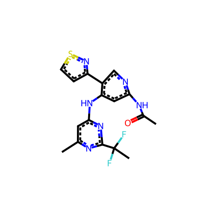 CC(=O)Nc1cc(Nc2cc(C)nc(C(C)(F)F)n2)c(-c2ccsn2)cn1